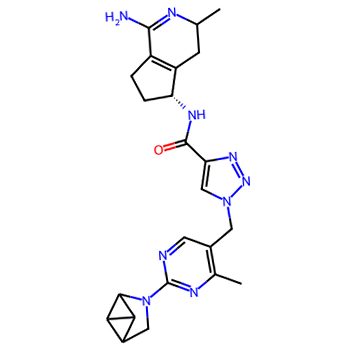 Cc1nc(N2CC3C4C3C42)ncc1Cn1cc(C(=O)N[C@@H]2CCC3=C2CC(C)N=C3N)nn1